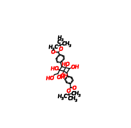 CC(C)(C)OC(=O)c1ccc(C2C(O)[C@@]3(O)C(c4ccc(C(=O)OC(C)(C)C)cc4)[C@@](O)([C@H](O)CO)[C@@]23O)cc1